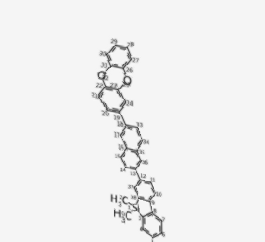 C[Si]1(C)c2ccccc2-c2ccc(-c3ccc4cc(-c5ccc6c(c5)Oc5ccccc5O6)ccc4c3)cc21